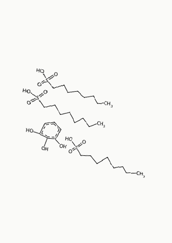 CCCCCCCCS(=O)(=O)O.CCCCCCCCS(=O)(=O)O.CCCCCCCCS(=O)(=O)O.Oc1cccc(O)c1O